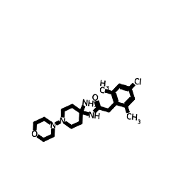 Cc1cc(Cl)cc(C)c1CC(=O)NC1(N)CCN(N2CCOCC2)CC1